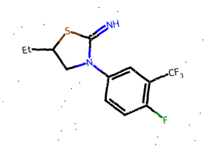 CCC1CN(c2ccc(F)c(C(F)(F)F)c2)C(=N)S1